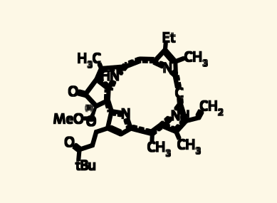 C=Cc1c(C)c2[nH]c1cc1nc(cc3[nH]c4c(c3C)C(=O)[C@H](C(=O)OC)c4c3nc(c2C)C=C3CCC(=O)C(C)(C)C)C(CC)=C1C